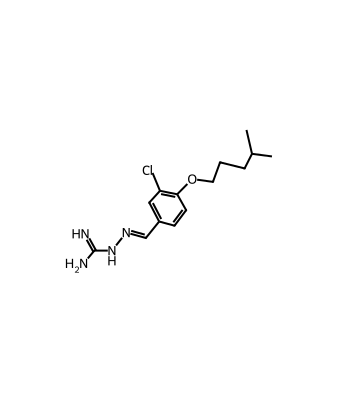 CC(C)CCCOc1ccc(C=NNC(=N)N)cc1Cl